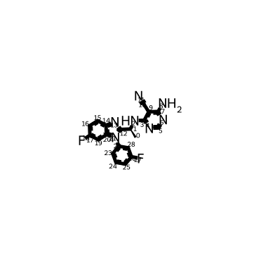 C[C@H](Nc1ncnc(N)c1C#N)c1nc2ccc(F)cc2n1-c1cccc(F)c1